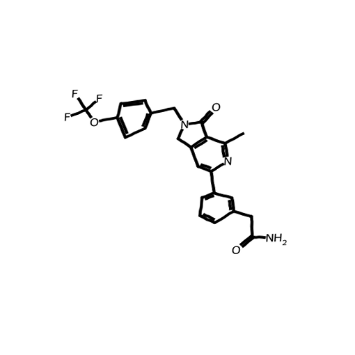 Cc1nc(-c2cccc(CC(N)=O)c2)cc2c1C(=O)N(Cc1ccc(OC(F)(F)F)cc1)C2